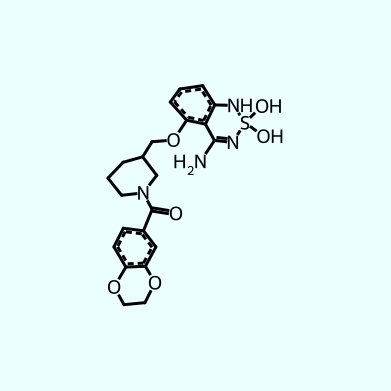 NC1=NS(O)(O)Nc2cccc(OCC3CCCN(C(=O)c4ccc5c(c4)OCCO5)C3)c21